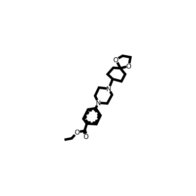 CCOC(=O)c1ccc(N2CCN(C3CCC4(CC3)OCCO4)CC2)cc1